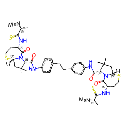 CN[C@@H](C)C(=S)N[C@H]1CCS[C@H]2CC(C)(C)[C@@H](C(=O)Nc3ccc(CCc4ccc(NC(=O)[C@H]5N6C(=O)[C@@H](NC(=S)[C@H](C)NC)CCS[C@H]6CC5(C)C)cc4)cc3)N2C1=O